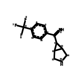 N=C(c1ccc(C(F)(F)F)cc1)C1C2CNCC21